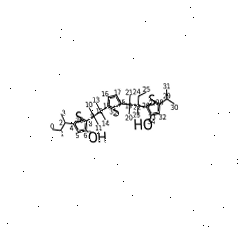 CCC(C)c1cc(O)c(C(C)(C)C(C)(C)c2ccc(C(C)(C)C(C)(CC)c3sc(C(C)C)cc3O)s2)s1